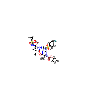 C=C[C@@H]1C[C@]1(NC(=O)[C@@H]1CN(S(=O)(=O)c2ccc(F)cc2)CN1C(=O)[C@@H](NC(=O)OC1CCCC1)C(C)(C)C)C(=O)NS(=O)(=O)C1CC1